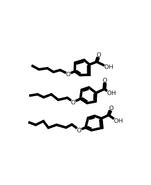 CCCCCCCOc1ccc(C(=O)O)cc1.CCCCCCOc1ccc(C(=O)O)cc1.CCCCCOc1ccc(C(=O)O)cc1